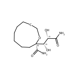 NC(=O)[C@@H](O)[C@H](O)[C@@]1(C(N)=O)CCCCCCCCO1